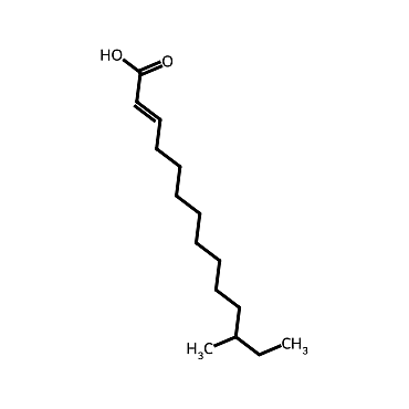 CCC(C)CCCCCCCCC=CC(=O)O